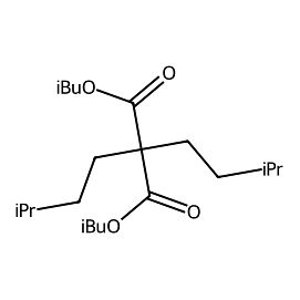 CC(C)CCC(CCC(C)C)(C(=O)OCC(C)C)C(=O)OCC(C)C